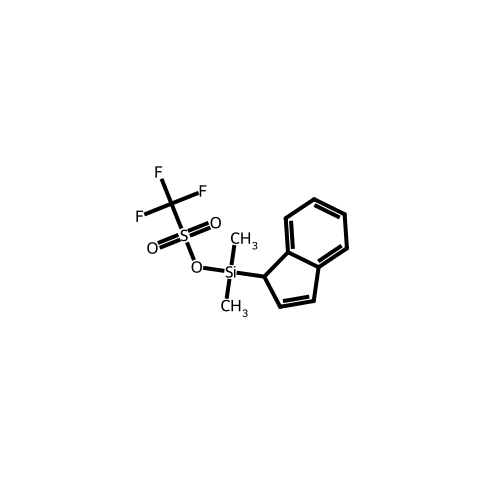 C[Si](C)(OS(=O)(=O)C(F)(F)F)C1C=Cc2ccccc21